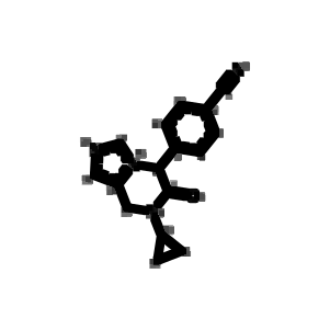 N#Cc1ccc(C2C(=O)N(C3CC3)Cc3cncn32)cc1